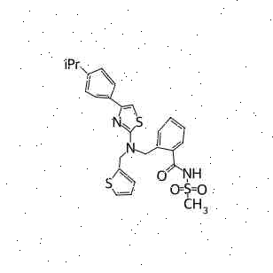 CC(C)c1ccc(-c2csc(N(Cc3cccs3)Cc3ccccc3C(=O)NS(C)(=O)=O)n2)cc1